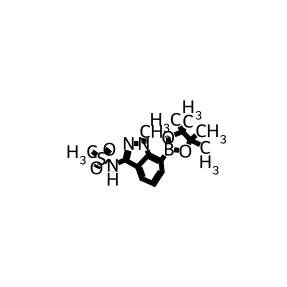 Cn1nc(NS(C)(=O)=O)c2cccc(B3OC(C)(C)C(C)(C)O3)c21